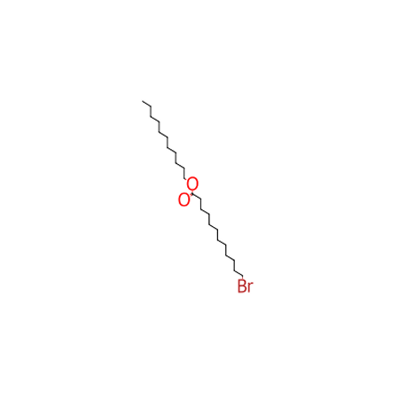 CCCCCCCCCCCOC(=O)CCCCCCCCCCCBr